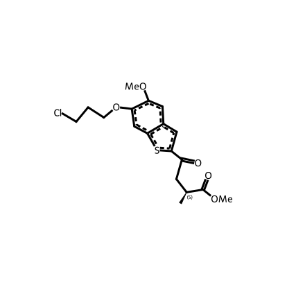 COC(=O)[C@@H](C)CC(=O)c1cc2cc(OC)c(OCCCCl)cc2s1